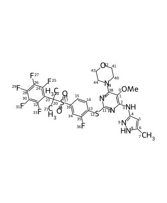 COc1c(Nc2cc(C)[nH]n2)nc(Sc2ccc(S(=O)(=O)C(C)(C)c3c(F)c(F)c(F)c(F)c3F)cc2F)nc1N1CCOCC1